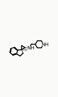 c1ccc2c(c1)CC[C@]21C[C@@H]1NCC1CCNCC1